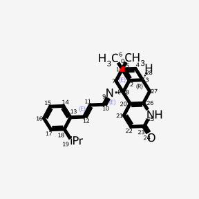 C/C=C1\[C@H]2C=C(C)C[C@]1(/N=C/C=C/c1ccccc1C(C)C)c1ccc(=O)[nH]c1C2